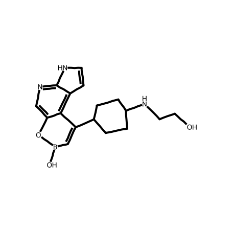 OCCNC1CCC(C2=CB(O)Oc3cnc4[nH]ccc4c32)CC1